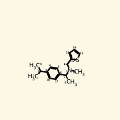 CC(C)c1ccc([C@H](C)N(C)Cc2cccs2)cc1